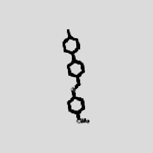 COC1CCC(OCC2CCC(C3CCC(C)CC3)CC2)CC1